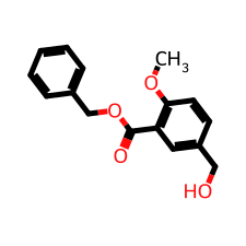 COc1ccc(CO)cc1C(=O)OCc1ccccc1